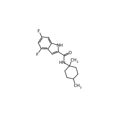 CC1CCC(C)(NC(=O)c2cc3c(F)cc(F)cc3[nH]2)CC1